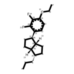 CCC[C@H]1CC[C@@H]2[C@H]1CC[C@H]2c1ccc(OCC)c(F)c1F